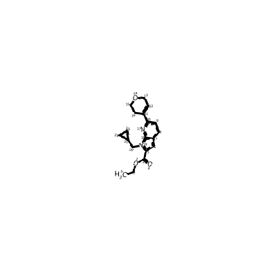 CCOC(=O)c1cc2ccc(C3=CCOCC3)nc2n1CC1CC1